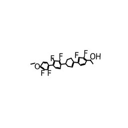 CCOc1ccc(-c2ccc(C3CC=C(c4ccc(C(C)O)c(F)c4F)CC3)c(F)c2F)c(F)c1F